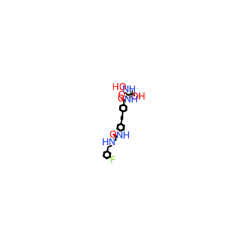 C[C@@H](O)[C@H](NC(=O)c1ccc(C#Cc2ccc(NC(=O)CNCCc3cccc(F)c3)cc2)cc1)C(=O)NO